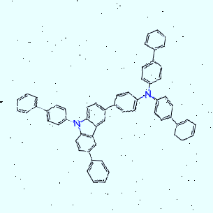 C1=CCCC(c2ccc(N(c3ccc(-c4ccccc4)cc3)c3ccc(-c4ccc5c(c4)c4cc(-c6ccccc6)ccc4n5-c4ccc(-c5ccccc5)cc4)cc3)cc2)=C1